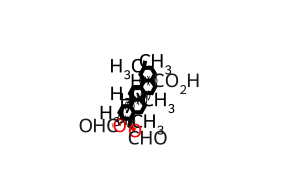 CC1(C)CC[C@]2(C(=O)O)CC[C@]3(C)C(=CC[C@@H]4[C@@]5(C)CC[C@H](OC=O)[C@](C)(COC=O)C5CC[C@]43C)[C@H]2C1